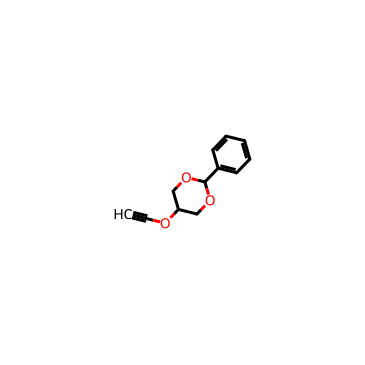 C#COC1COC(c2ccccc2)OC1